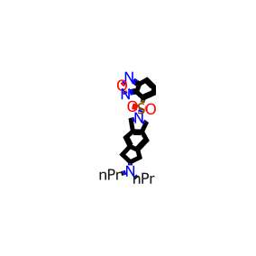 CCCN(CCC)C1Cc2cc3c(cc2C1)CN(S(=O)(=O)c1cccc2nonc12)C3